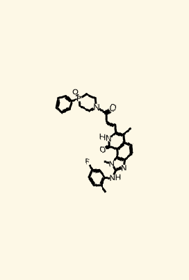 Cc1ccc(F)cc1Nc1nc2ccc3c(C)c(C=CC(=O)N4CCP(=O)(c5ccccc5)CC4)[nH]c(=O)c3c2n1C